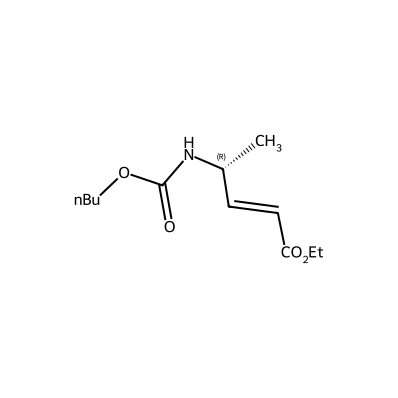 CCCCOC(=O)N[C@H](C)C=CC(=O)OCC